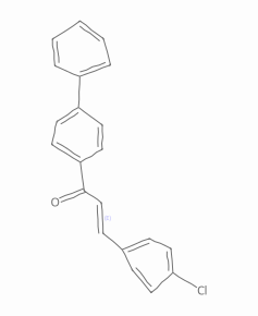 O=C(/C=C/c1ccc(Cl)cc1)c1ccc(-c2ccccc2)cc1